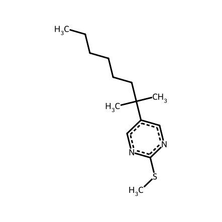 CCCCCCC(C)(C)c1cnc(SC)nc1